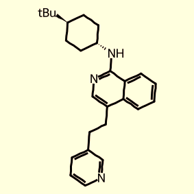 CC(C)(C)[C@H]1CC[C@H](Nc2ncc(CCc3cccnc3)c3ccccc23)CC1